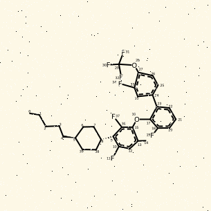 CCCCC[C@H]1CC[C@H](c2c(F)cc(C)c(Oc3c(F)cccc3-c3ccc(OC(F)(F)F)c(F)c3)c2F)CC1